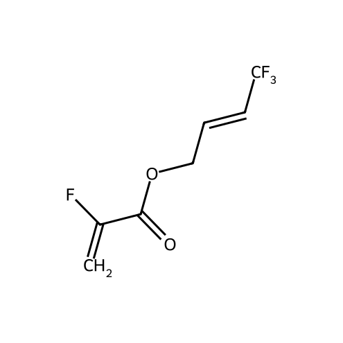 C=C(F)C(=O)OCC=CC(F)(F)F